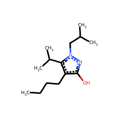 CCCCc1c(O)nn(CC(C)C)c1C(C)C